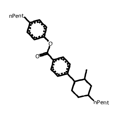 CCCCCc1ccc(OC(=O)c2ccc(C3CCC(CCCCC)CC3C)cc2)cc1